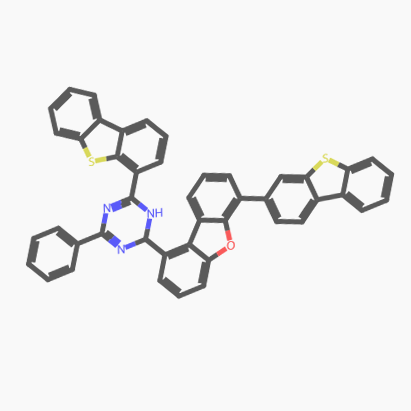 c1ccc(C2=NC(c3cccc4oc5c(-c6ccc7c(c6)sc6ccccc67)cccc5c34)NC(c3cccc4c3sc3ccccc34)=N2)cc1